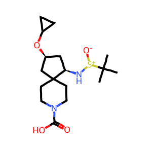 CC(C)(C)[S+]([O-])N[C@@H]1C[C@H](OC2CC2)CC12CCN(C(=O)O)CC2